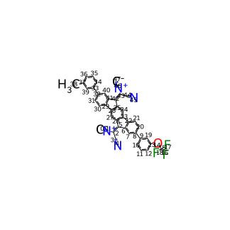 [C-]#[N+]/C(C#N)=C1/c2cc(-c3cccc(OC(F)(F)F)c3)ccc2-c2cc3c(cc21)-c1ccc(-c2cccc(C)c2)cc1/C3=C(/C#N)[N+]#[C-]